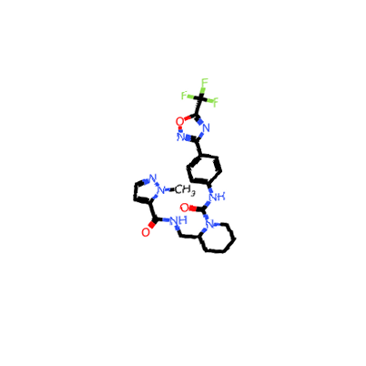 Cn1nccc1C(=O)NCC1CCCCN1C(=O)Nc1ccc(-c2noc(C(F)(F)F)n2)cc1